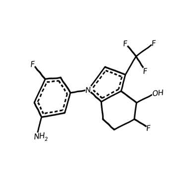 Nc1cc(F)cc(-n2cc(C(F)(F)F)c3c2CCC(F)C3O)c1